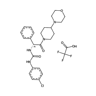 O=C(Nc1ccc(Cl)cc1)N[C@@H](C(=O)N1CCC(N2CCOCC2)CC1)c1ccccc1.O=C(O)C(F)(F)F